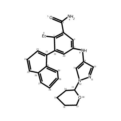 CCc1c(C(N)=O)cc(Nc2cnn(C3CCCCO3)c2)cc1-c1cccc2ccccc12